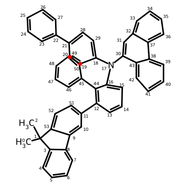 CC1(C)c2ccccc2-c2cc(-c3cccc(N(c4ccc(-c5ccccc5)cc4)c4cc5ccccc5c5ccccc45)c3-c3ccccc3)ccc21